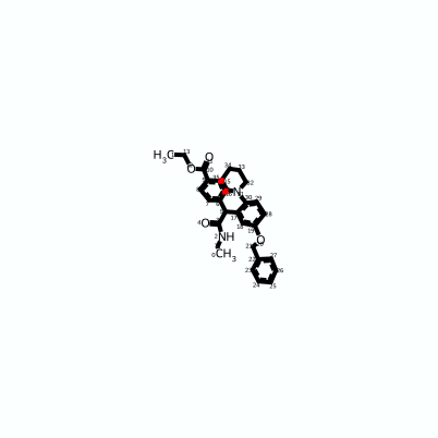 CCNC(=O)C(c1ccc(C(=O)OCC)cc1)c1cc(OCc2ccccc2)ccc1N1CCCCC1